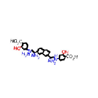 N/C(=C\Nc1ccc(C(=O)O)c(O)c1)c1ccc2ccc(/C(N)=C/N(N)c3ccc(C(=O)O)c(O)c3)cc2c1